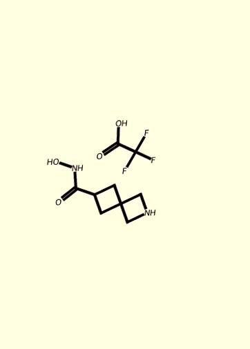 O=C(NO)C1CC2(CNC2)C1.O=C(O)C(F)(F)F